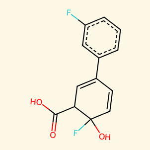 O=C(O)C1C=C(c2cccc(F)c2)C=CC1(O)F